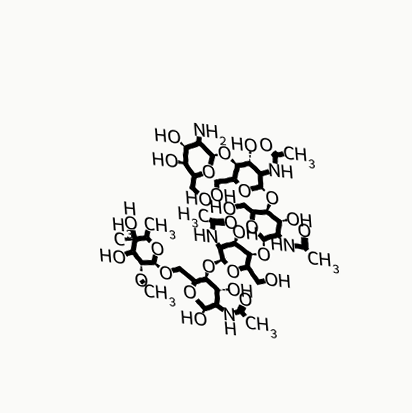 CO[C@@H]1C(O)[C@](C)(O)C(C)O[C@H]1OCC1O[C@@H](O)C(NC(C)=O)[C@@H](O)[C@@H]1O[C@@H]1OC(CO)[C@@H](O[C@@H]2OC(CO)[C@@H](O[C@@H]3OC(CO)[C@@H](O[C@@H]4OC(CO)[C@@H](O)[C@H](O)C4N)[C@H](O)C3NC(C)=O)[C@H](O)C2NC(C)=O)[C@H](O)C1NC(C)=O